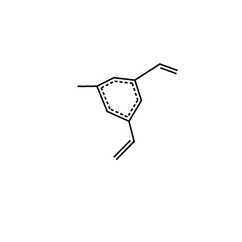 C=Cc1cc(C)cc(C=C)c1